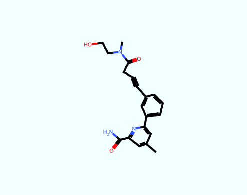 Cc1cc(C(N)=O)nc(-c2cccc(C#CCC(=O)N(C)CCO)c2)c1